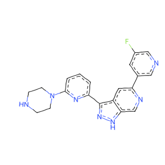 Fc1cncc(-c2cc3c(-c4cccc(N5CCNCC5)n4)n[nH]c3cn2)c1